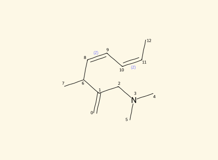 C=C(CN(C)C)C(C)/C=C\C=C/C